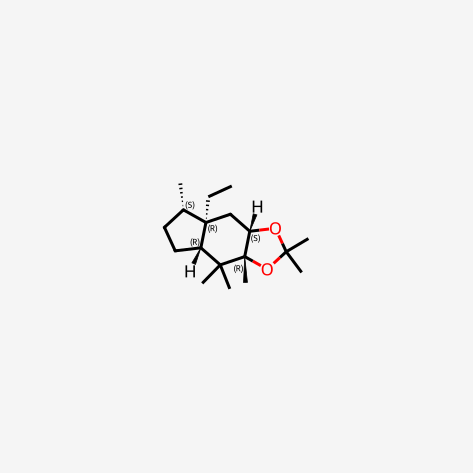 CC[C@]12C[C@@H]3OC(C)(C)O[C@]3(C)C(C)(C)[C@@H]1CC[C@@H]2C